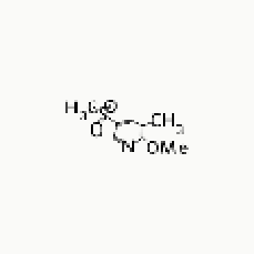 COc1ncc(S(C)(=O)=O)cc1C